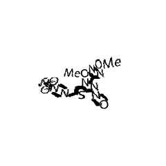 COc1ncc(-c2nc(N3CCOCC3)c3sc(CN4CCN(S(=O)(=O)N(C)C)CC4)cc3n2)c(OC)n1